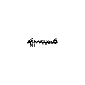 N#CC1(C(=O)NCCCCCCCCCCOCC2CCCC2)CC1